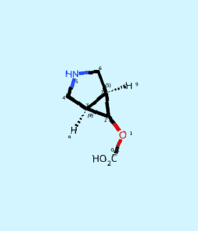 O=C(O)OC1[C@H]2CNC[C@@H]12